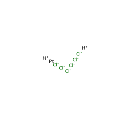 [Cl-].[Cl-].[Cl-].[Cl-].[Cl-].[Cl-].[H+].[H+].[Pt]